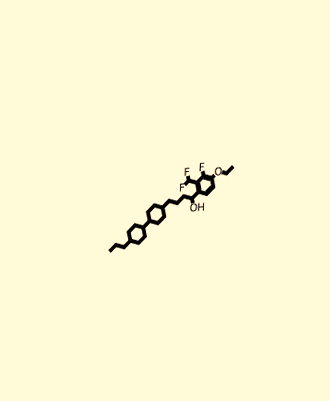 CCCC1CCC(C2CCC(CCCC(O)c3ccc(OCC)c(F)c3C(F)F)CC2)CC1